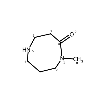 CN1CCCNCCC1=O